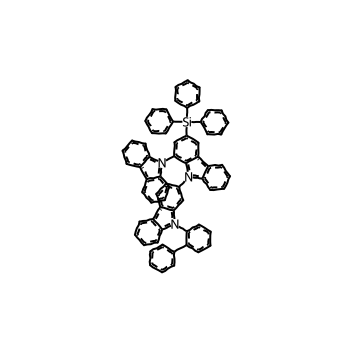 c1ccc(-c2ccccc2-n2c3ccccc3c3ccc(-n4c5ccccc5c5cc([Si](c6ccccc6)(c6ccccc6)c6ccccc6)cc(-n6c7ccccc7c7ccccc76)c54)cc32)cc1